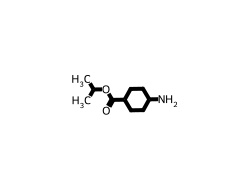 CC(C)OC(=O)C1CCC(N)CC1